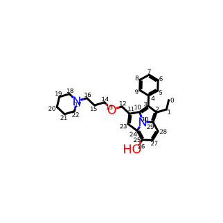 CCc1c(-c2ccccc2)c2c(COCCCN3CCCCC3)cc3c(O)ccc1n32